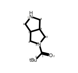 CC(C)(C)C(=O)N1CC2CNCC2C1